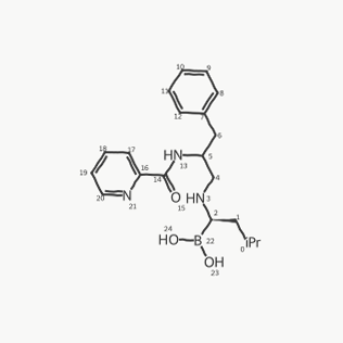 CC(C)C[C@H](NCC(Cc1ccccc1)NC(=O)c1ccccn1)B(O)O